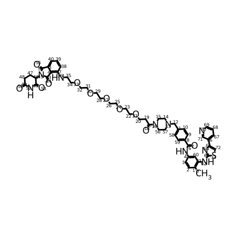 Cc1ccc(NC(=O)c2ccc(CN3CCN(C(=O)CCOCCOCCOCCOCCOCCNc4cccc5c4C(=O)N(C4CCC(=O)NC4=O)C5=O)CC3)cc2)cc1Nc1nc(-c2cccnc2)cs1